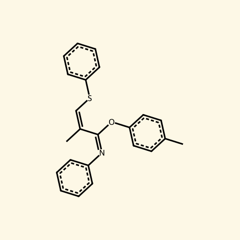 CC(=CSc1ccccc1)C(=Nc1ccccc1)Oc1ccc(C)cc1